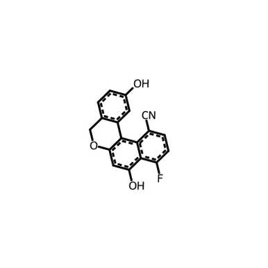 N#Cc1ccc(F)c2c(O)cc3c(c12)-c1cc(O)ccc1CO3